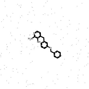 Nc1nccc(Cc2cccc(OCc3ccccc3)c2)c1N